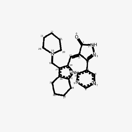 O=C1NN=C(c2cncnc2)/C1=C\c1[nH]c2c(c1CN1CCCCC1)CCCC2